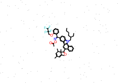 CCCCC(CC)Cn1c2ccc(/C(=N\OC(C)=O)c3ccccc3OCC(F)(F)C(F)F)cc2c2cc(C(=O)C3(C)C(C)=CC(C)=CC3C)c3ccccc3c21